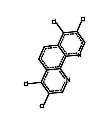 Clc1cnc2c(ccc3c(Cl)c(Cl)cnc32)c1Cl